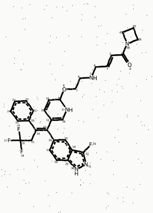 O=C(/C=C/CNCCOC1C=CC(/C(=C(/CC(F)(F)F)c2ccccc2)c2ccc3[nH]nc(F)c3c2)=CN1)N1CCC1